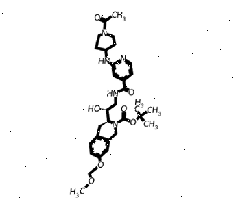 COCOc1ccc2c(c1)CN(C(=O)OC(C)(C)C)[C@H]([C@H](O)CNC(=O)c1ccnc(NC3CCN(C(C)=O)CC3)c1)C2